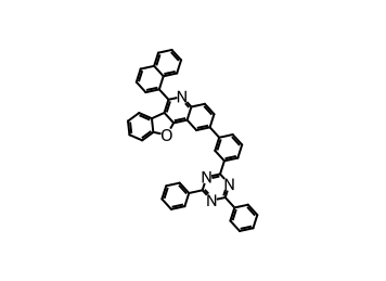 c1ccc(-c2nc(-c3ccccc3)nc(-c3cccc(-c4ccc5nc(-c6cccc7ccccc67)c6c7ccccc7oc6c5c4)c3)n2)cc1